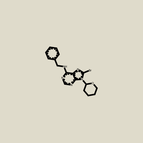 Brc1nc2c(NCc3ccccc3)ncnc2n1C1CCCCO1